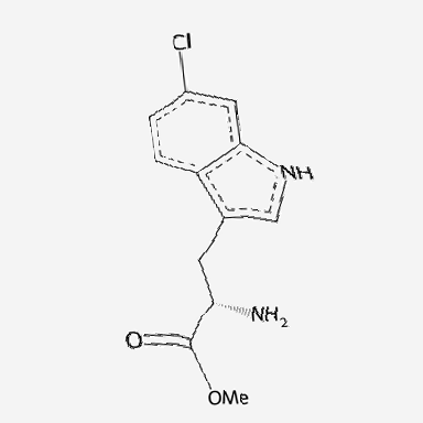 COC(=O)[C@@H](N)Cc1c[nH]c2cc(Cl)ccc12